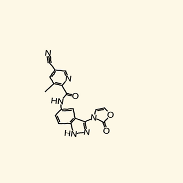 Cc1cc(C#N)cnc1C(=O)Nc1ccc2[nH]nc(-n3ccoc3=O)c2c1